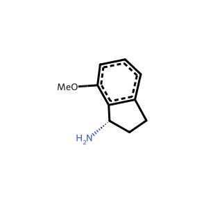 COc1cccc2c1[C@@H](N)CC2